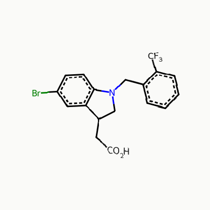 O=C(O)CC1CN(Cc2ccccc2C(F)(F)F)c2ccc(Br)cc21